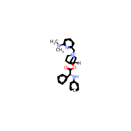 CN(C)c1cccc(C[N+]23CCC(CC2)[C@@H](OC(=O)[C@H](Nc2ccccc2)c2ccccc2)C3)n1